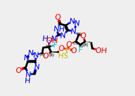 Nc1nc2c(nnn2[C@@H]2O[C@H](CCO)[C@@H](F)[C@H]2OP(=O)(S)OC[C@H]2O[C@@H](n3nnc4c(=O)[nH]cnc43)C[C@]2(O)F)c(=O)[nH]1